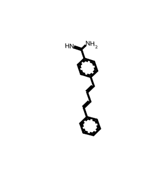 N=C(N)c1ccc(C=CC=Cc2ccccc2)cc1